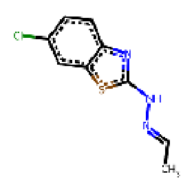 CC=NNc1nc2ccc(Cl)cc2s1